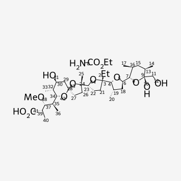 CCOC(N)=O.CC[C@@]1([C@@H]2O[C@@H]([C@H]3O[C@@](O)(CO)[C@H](C)C[C@@H]3C)C[C@@H]2C)CC[C@H]([C@]2(C)CC[C@]3(C[C@H](O)[C@@H](C)[C@@H]([C@@H](C)[C@@H](OC)[C@H](C)C(=O)O)O3)O2)O1